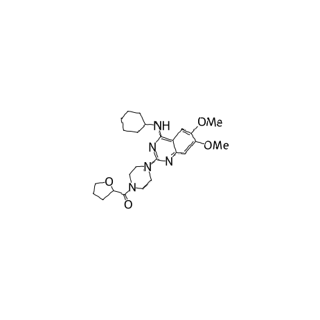 COc1cc2nc(N3CCN(C(=O)C4CCCO4)CC3)nc(NC3CCCCC3)c2cc1OC